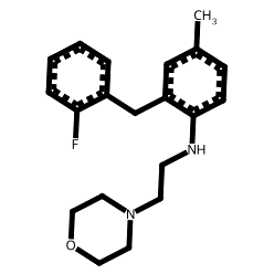 Cc1ccc(NCCN2CCOCC2)c(Cc2ccccc2F)c1